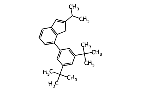 CC(C)C1=Cc2cccc(-c3cc(C(C)(C)C)cc(C(C)(C)C)c3)c2C1